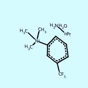 CCCN.C[N+](C)(C)c1cccc(C(F)(F)F)c1.O